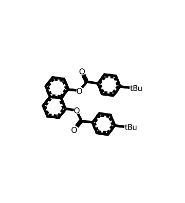 CC(C)(C)c1ccc(C(=O)Oc2cccc3cccc(OC(=O)c4ccc(C(C)(C)C)cc4)c23)cc1